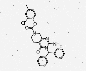 Cc1ccc(OC(=O)N2CCc3c(nc(N)n(C(c4ccccc4)c4ccccc4)c3=O)C2)c(Cl)c1